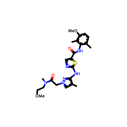 COCCN(C)C(=O)Cn1cc(C)c(Nc2ncc(C(=O)Nc3c(C)ccc(OC)c3C)s2)n1